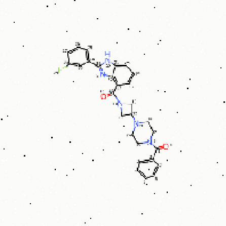 O=C(c1ccccc1)N1CCN(C2CN(C(=O)c3cccc4[nH]c(-c5cccc(F)c5)nc34)C2)CC1